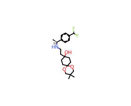 C[C@H](NCCC1(O)CCC2(CC1)OCC(C)(C)CO2)c1ccc(C(F)F)cc1